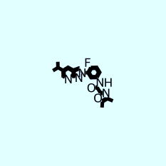 Cc1nc(C(=O)Nc2ccc(F)c(-n3cc4cc(C(C)C)cnc4n3)c2)oc1C